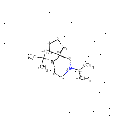 CC(C)N1CCC(C(C)(C)C)C2(CCCC2)C1